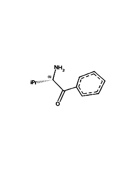 CC(C)[C@H](N)C(=O)c1ccccc1